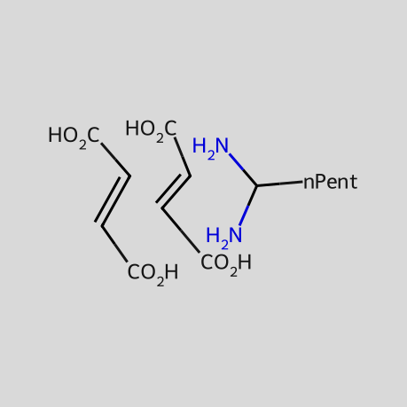 CCCCCC(N)N.O=C(O)/C=C/C(=O)O.O=C(O)/C=C/C(=O)O